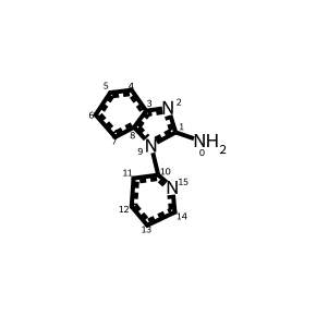 Nc1nc2ccccc2n1-c1ccccn1